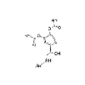 CCCC(=O)Oc1ccc(C(O)CNC(C)(C)C)cc1OC(=O)CCC